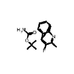 CC(C)(C)OC(N)=O.Cc1nc2c3cccc2c3c1F